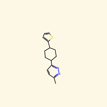 Cc1ccc(C2CCC(c3cccs3)CC2)nn1